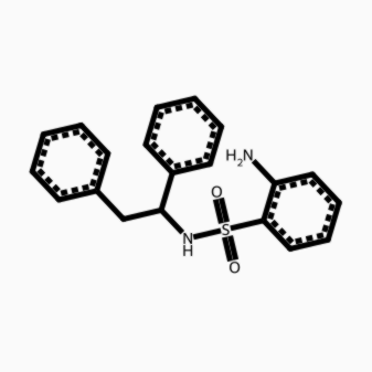 Nc1ccccc1S(=O)(=O)NC(Cc1ccccc1)c1ccccc1